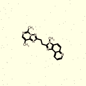 Cc1cnc(C)n2nc(CCc3nc4c5cccnc5ccc4n3C)nc12